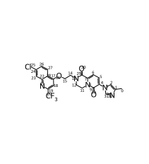 Cc1cn(-c2ccc3n(c2=O)CCN(CCOc2cc(C(F)(F)F)nc4cc(Cl)ccc24)C3=O)cn1